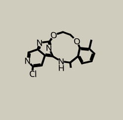 Cc1cccc2c1OCCOc1nc(c3cc(Cl)ncc3n1)NC2C